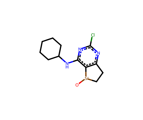 [O-][S+]1CCc2nc(Cl)nc(NC3CCCCC3)c21